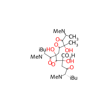 CCC(C)[C@H](NC)C(=O)CC(O)(C(=O)O)C(=O)C(O)(CC(=O)C(C)(O)C(=O)[C@H](C)NC)C(=O)[C@H](NC)C(C)CC